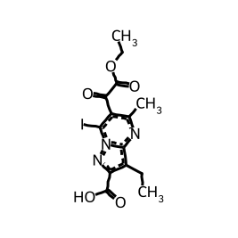 CCOC(=O)C(=O)c1c(C)nc2c(CC)c(C(=O)O)nn2c1I